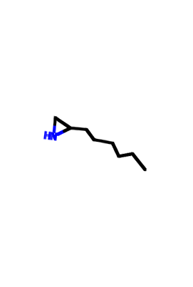 CCCCCCC1CN1